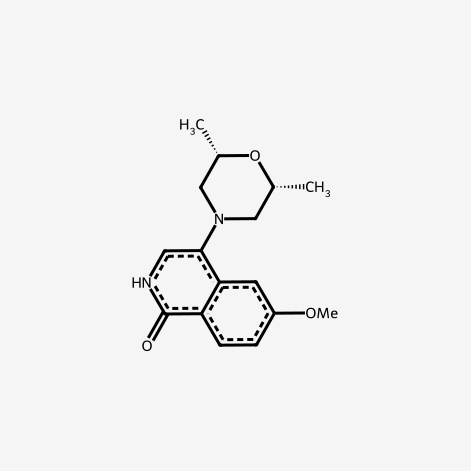 COc1ccc2c(=O)[nH]cc(N3C[C@@H](C)O[C@@H](C)C3)c2c1